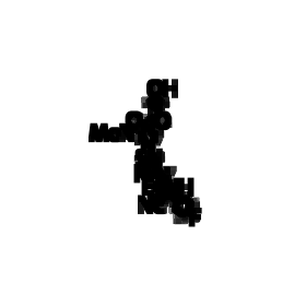 CCc1nc2sc(N3CCN(CC(=O)N4CC(O)C4)[C@H](C(=O)NC)C3)nn2c1N(C)N1NC(c2ccc(F)cc2)=C(C#N)S1